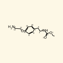 COC(=O)NCCc1ccc(OCCN)cc1